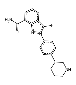 NC(=O)c1cccc2c(F)n(-c3ccc(C4CCCNC4)cc3)nc12